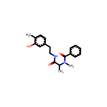 Cc1ccc(CCNC(=O)C(C)N(C)C(=O)c2ccccc2)cc1O